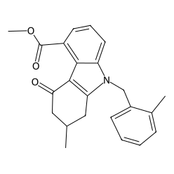 COC(=O)c1cccc2c1c1c(n2Cc2ccccc2C)CC(C)CC1=O